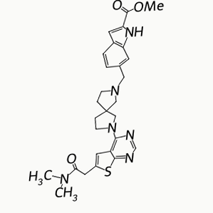 COC(=O)c1cc2ccc(CN3CCC4(CCN(c5ncnc6sc(CC(=O)N(C)C)cc56)C4)C3)cc2[nH]1